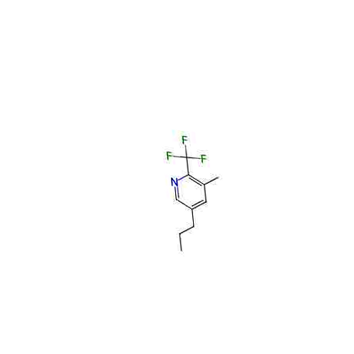 CCCc1cnc(C(F)(F)F)c(C)c1